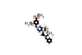 CC/C(=C\c1ccccc1)[C@@H]1C[C@H]1N(C(=O)C(F)(F)F)C1CCN(Cc2ccc(C(=O)OC)cc2OC)CC1